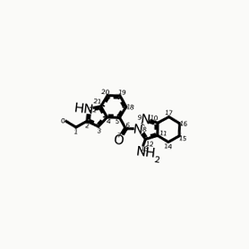 CCc1cc2c(C(=O)n3nc4c(c3N)CCCC4)cccc2[nH]1